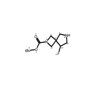 CC(C)(C)OC(=O)N1CC2(CNCC2F)C1